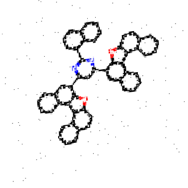 c1ccc2c(-c3nc(-c4cc5ccccc5c5c4oc4ccc6ccccc6c45)cc(-c4cc5ccccc5c5c4oc4ccc6ccccc6c45)n3)cccc2c1